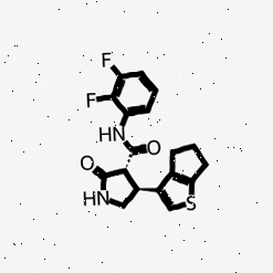 O=C1NC[C@H](c2csc3c2CCC3)[C@H]1C(=O)Nc1cccc(F)c1F